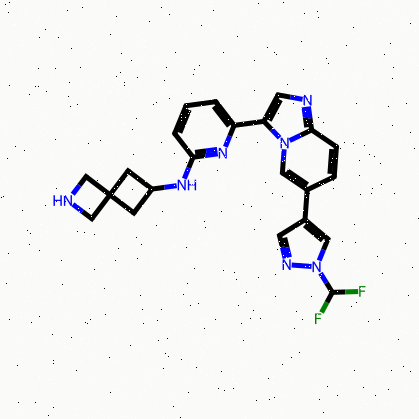 FC(F)n1cc(-c2ccc3ncc(-c4cccc(NC5CC6(CNC6)C5)n4)n3c2)cn1